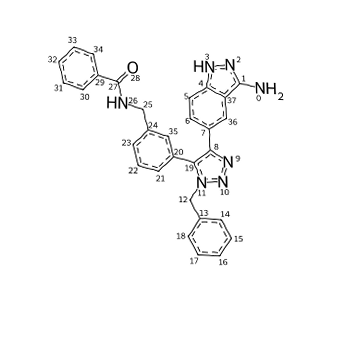 Nc1n[nH]c2ccc(-c3nnn(Cc4ccccc4)c3-c3cccc(CNC(=O)c4ccccc4)c3)cc12